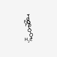 C=CC1CCC(C2CC=C(COc3ccc(OCC4CC4)c(F)c3F)CC2)CC1